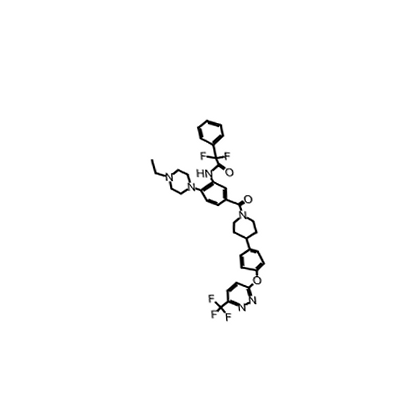 CCN1CCN(c2ccc(C(=O)N3CCC(c4ccc(Oc5ccc(C(F)(F)F)nn5)cc4)CC3)cc2NC(=O)C(F)(F)c2ccccc2)CC1